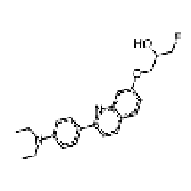 CCN(CC)c1ccc(-c2ccc3ccc(OCC(O)CF)cc3n2)cc1